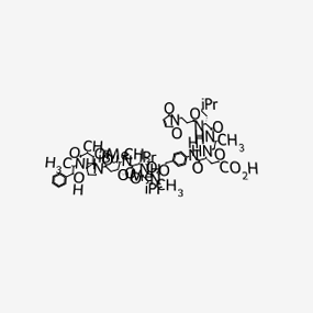 CC[C@H](C)[C@@H]([C@@H](CC(=O)N1CCC[C@H]1[C@H](OC)[C@@H](C)C(=O)N[C@H](C)[C@@H](O)c1ccccc1)OC)N(C)C(=O)[C@@H](NC(=O)[C@H](C(C)C)N(C)C(=O)OCc1ccc(NC(=O)[C@H](CCC(=O)O)NC(=O)[C@H](C)NC(=O)[C@@H](CCC(C)C)NC(=O)CCN2C(=O)C=CC2=O)cc1)C(C)C